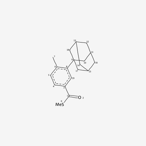 CSC(=O)c1ccc(C)c(C23CC4CC(CC(C4)C2)C3)c1